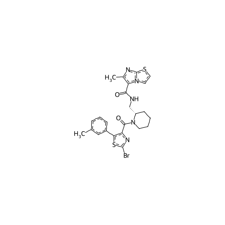 Cc1cccc(-c2sc(Br)nc2C(=O)N2CCCC[C@H]2CNC(=O)c2c(C)nc3sccn23)c1